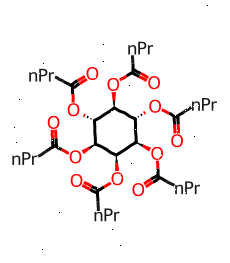 CCCC(=O)O[C@H]1[C@H](OC(=O)CCC)[C@@H](OC(=O)CCC)[C@H](OC(=O)CCC)[C@@H](OC(=O)CCC)[C@H]1OC(=O)CCC